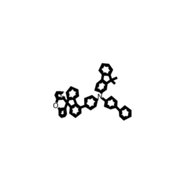 CC1(C)c2ccccc2-c2ccc(N(c3ccc(-c4ccccc4)cc3)c3ccc(-c4cccc5c4-c4ccccc4C54c5ccccc5Oc5ccccc54)cc3)cc21